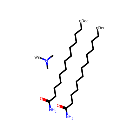 CCCCCCCCCCCCCCCCCCCCCC(N)=O.CCCCCCCCCCCCCCCCCCCCCC(N)=O.CCCN(C)C